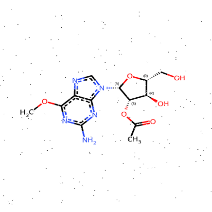 COc1nc(N)nc2c1ncn2[C@@H]1O[C@H](CO)[C@@H](O)[C@@H]1OC(C)=O